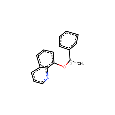 C[C@H](Oc1cccc2cccnc12)c1ccccc1